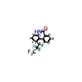 O=c1[nH]c2cccc(C(F)C(F)(F)C(F)(F)F)c2c2ccccc12